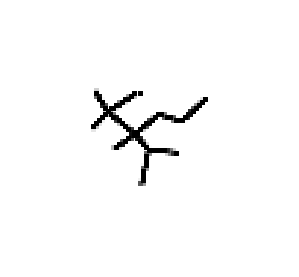 [CH2]C(C)(C)C(C)(CCC)C(C)C